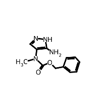 CN(C(=O)OCc1ccccc1)c1cn[nH]c1N